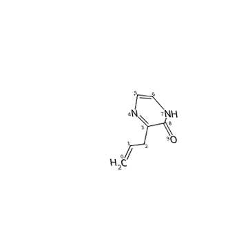 C=CCc1n[c]c[nH]c1=O